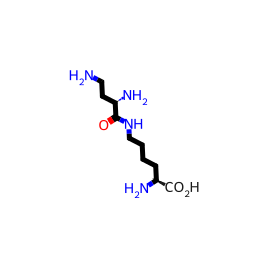 NCC[C@H](N)C(=O)NCCCC[C@H](N)C(=O)O